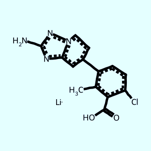 Cc1c(-c2ccn3nc(N)nc3c2)ccc(Cl)c1C(=O)O.[Li]